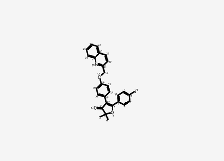 CC1(C)OC(c2ccc(I)cc2)=C(c2ccc(OCc3ccc4ccccc4n3)cc2)C1=O